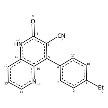 CCc1ccc(-c2c(C#N)c(=O)[nH]c3cccnc23)cc1